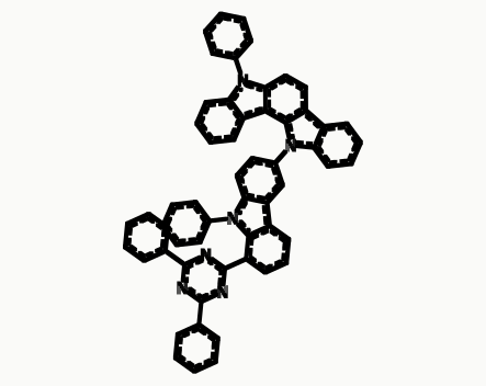 c1ccc(-c2nc(-c3ccccc3)nc(-c3cccc4c5cc(-n6c7ccccc7c7ccc8c(c9ccccc9n8-c8ccccc8)c76)ccc5n(-c5ccccc5)c34)n2)cc1